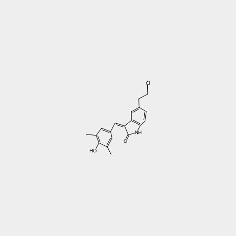 Cc1cc(C=C2C(=O)Nc3ccc(CCCl)cc32)cc(C)c1O